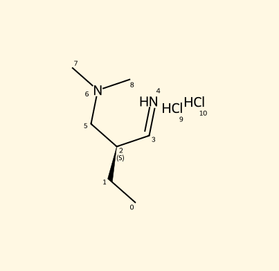 CC[C@H](C=N)CN(C)C.Cl.Cl